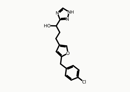 OC(CCc1coc(Cc2ccc(Cl)cc2)c1)c1nc[nH]n1